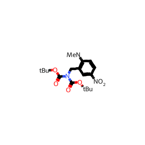 CNc1ccc([N+](=O)[O-])cc1CN(C(=O)OC(C)(C)C)C(=O)OC(C)(C)C